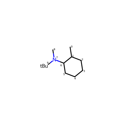 CC1CCCCC1N(C)C(C)(C)C